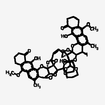 COc1c2c(c(O)c3c4c(c(C)cc13)C(I)C1OC(O)(C3OCCCO3)[C@]3(CO3)[C@]1(OC/C=C\CO[C@@]13Oc5c(c(C)cc6c(OC)c7c(c(O)c56)C(=O)CCC7)C5OC(C6OCCCO6)(OC51)[C@]31CO1)O4)C(=O)CCC2